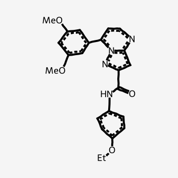 CCOc1ccc(NC(=O)c2cc3nccc(-c4cc(OC)cc(OC)c4)n3n2)cc1